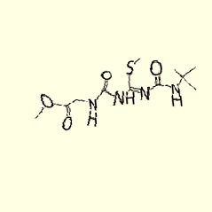 COC(=O)CNC(=O)NC(=NC(=O)NC(C)(C)C)SC